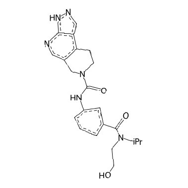 CC(C)N(CCO)C(=O)c1cccc(NC(=O)N2CCc3c(cnc4[nH]ncc34)C2)c1